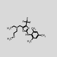 CCN(CCOC)Cc1oc(Nc2c(C)cc(C)cc2C)nc1C(F)(F)F